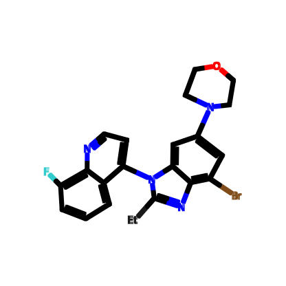 CCc1nc2c(Br)cc(N3CCOCC3)cc2n1-c1ccnc2c(F)cccc12